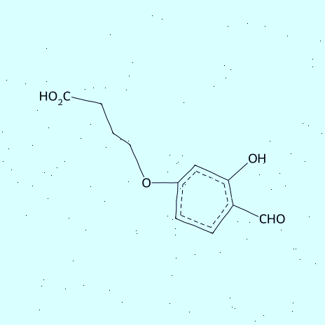 O=Cc1ccc(OCCCC(=O)O)cc1O